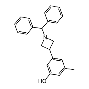 Cc1cc(O)cc(C2CN(C(c3ccccc3)c3ccccc3)C2)c1